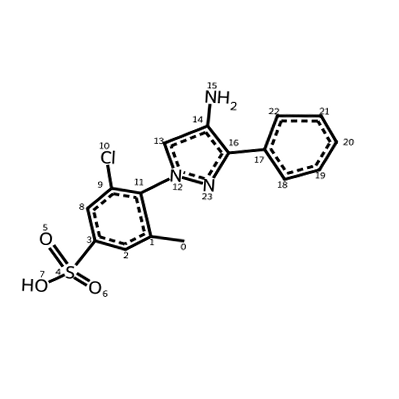 Cc1cc(S(=O)(=O)O)cc(Cl)c1-n1cc(N)c(-c2ccccc2)n1